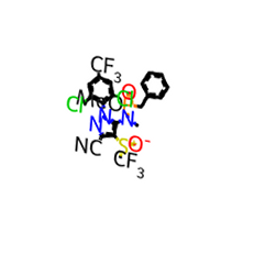 COP(=O)(Cc1ccccc1)N(C)c1c([S+]([O-])C(F)(F)F)c(C#N)nn1-c1c(Cl)cc(C(F)(F)F)cc1Cl